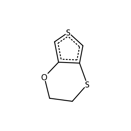 c1scc2c1OCCS2